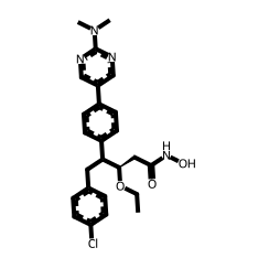 CCO[C@H](CC(=O)NO)C(Cc1ccc(Cl)cc1)c1ccc(-c2cnc(N(C)C)nc2)cc1